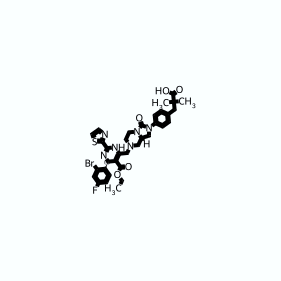 CCOC(=O)C1=C(CN2CCN3C(=O)N(c4ccc(CC(C)(C)C(=O)O)cc4)C[C@@H]3C2)NC(c2nccs2)=N[C@H]1c1ccc(F)cc1Br